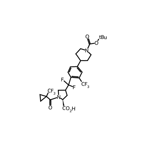 CC(C)(C)OC(=O)N1CCC(c2ccc(C(F)(F)C3C[C@@H](C(=O)O)N(C(=O)C4(C(F)(F)F)CC4)C3)c(C(F)(F)F)c2)CC1